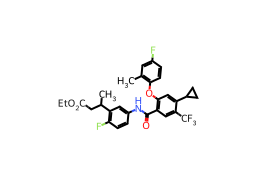 CCOC(=O)CC(C)c1cc(NC(=O)c2cc(C(F)(F)F)c(C3CC3)cc2Oc2ccc(F)cc2C)ccc1F